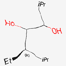 CC[C@H](C(C)C)C(O)C(O)C(C)C